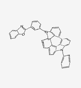 c1ccc(-n2c3cccc4c3c3c5c(ccc32)ccc2c5c3c-4cccc3n2-c2cccc(-c3nc4ccccc4o3)c2)cc1